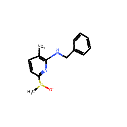 C[S+]([O-])c1ccc([N+](=O)[O-])c(NCc2ccccc2)n1